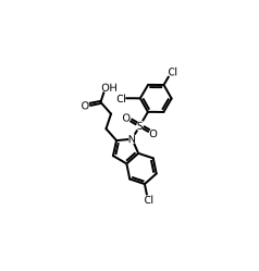 O=C(O)CCc1cc2cc(Cl)ccc2n1S(=O)(=O)c1ccc(Cl)cc1Cl